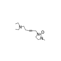 CCN(CC)CCC#CCN1CCN(C)C1=O